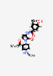 COC(=O)[C@@H]1C[C@H](NC(C)(C)C)CC[C@@H]1N1CC[C@H](NC(=O)c2ccc(O)c(C(C)(C)C)c2)C1=O